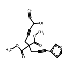 C#CC(O)C#CCC(CC#Cc1ccsc1)(C(=O)OC)C(=O)OC